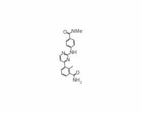 CNC(=O)c1ccc(Nc2nccc(-c3cccc(C(N)=O)c3C)n2)cc1